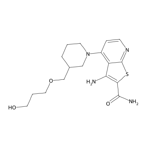 NC(=O)c1sc2nccc(N3CCCC(COCCCO)C3)c2c1N